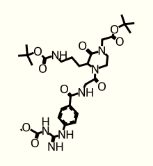 COC(=O)NC(=N)Nc1ccc(C(=O)NCC(=O)N2CCN(CC(=O)OC(C)(C)C)C(=O)C2CCCNC(=O)OC(C)(C)C)cc1